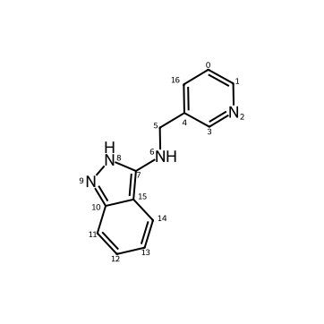 c1cncc(CNc2[nH]nc3ccccc23)c1